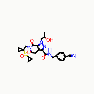 C[C@@H](O)Cn1nc(C(=O)NCc2ccc(C#N)cc2)c2c1C(=O)N(CC1(S(=O)(=O)C3CC3)CC1)CC2